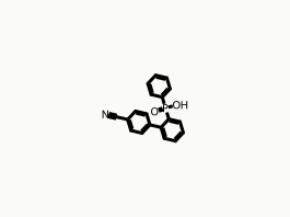 N#Cc1ccc(-c2ccccc2P(=O)(O)c2ccccc2)cc1